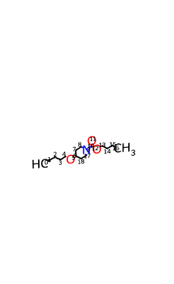 C#CCCCOC1CCN(C(=O)OCCCC)CC1